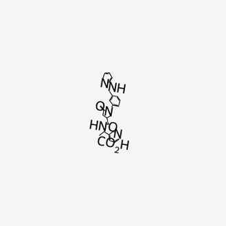 O=C(O)CC(NC(=O)C1CC(=O)N(c2cccc(CNc3ccccn3)c2)C1)c1cccnc1